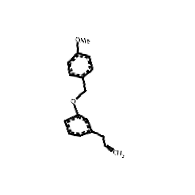 C=CCc1cccc(OCc2ccc(OC)cc2)c1